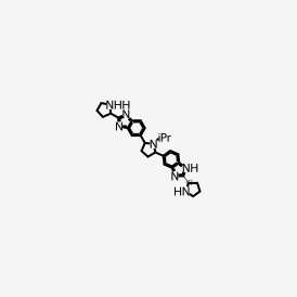 CC(C)N1C(c2ccc3[nH]c(C4CCCN4)nc3c2)CCC1c1ccc2[nH]c([C@@H]3CCCN3)nc2c1